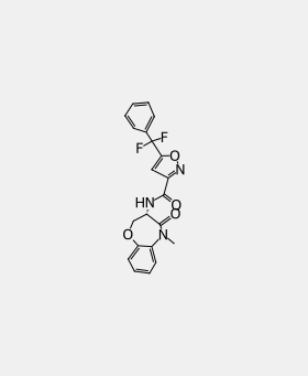 CN1C(=O)[C@@H](NC(=O)c2cc(C(F)(F)c3ccccc3)on2)COc2ccccc21